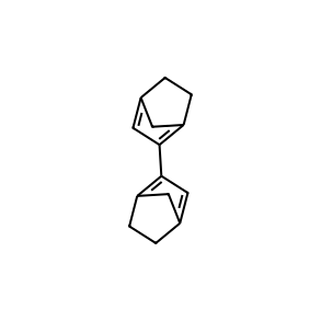 C1=C2CCC(=C1C1=C3CCC(=C1)C3)C2